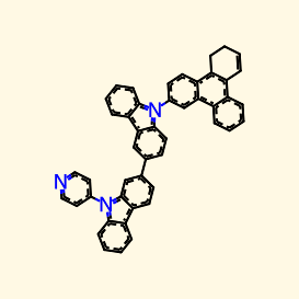 C1=Cc2c(c3ccc(-n4c5ccccc5c5cc(-c6ccc7c8ccccc8n(-c8ccncc8)c7c6)ccc54)cc3c3ccccc23)CC1